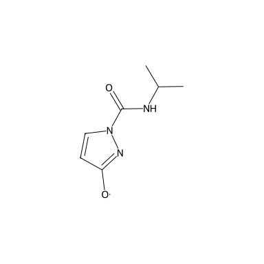 CC(C)NC(=O)n1ccc([O])n1